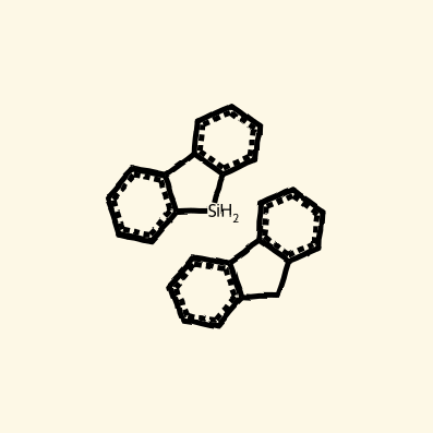 c1ccc2c(c1)Cc1ccccc1-2.c1ccc2c(c1)[SiH2]c1ccccc1-2